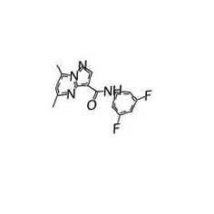 Cc1cc(C)n2ncc(C(=O)Nc3cc(F)cc(F)c3)c2n1